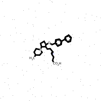 CC1CCN(C2CCC(OCc3ccc(-c4ccccc4)cc3)C2CC/C=C/CCC(=O)O)CC1